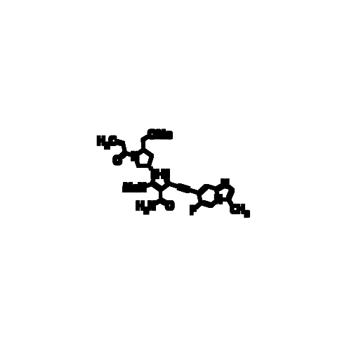 C=CC(=O)N1C[C@@H](n2nc(C#Cc3cc4ncc(C)n4cc3F)c(C(N)=O)c2NC)C[C@@H]1COC